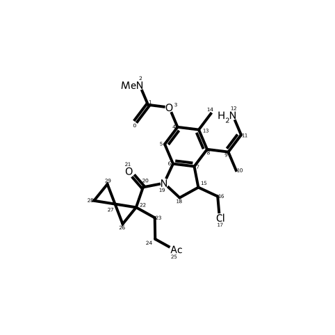 C=C(NC)Oc1cc2c(c(/C(C)=C\N)c1C)C(CCl)CN2C(=O)C1(CCC(C)=O)CC12CC2